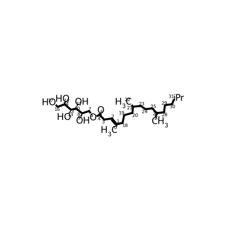 CC(=CCC(=O)OC[C@@H](O)[C@@H](O)[C@H](O)[C@H](O)CO)CCCC(C)CCCC(C)CCCC(C)C